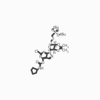 CC(C)(C)OP(=O)(CSC[C@H]1O[C@@H](n2ncc3c(OC(=O)NC4CCCC4)nc(Cl)nc32)[C@@H]2OC(C)(C)O[C@@H]21)OC(C)(C)C